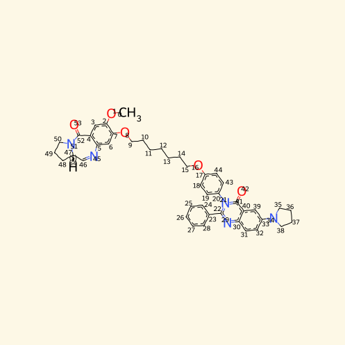 COc1cc2c(cc1OCCCCCCCOc1ccc(-n3c(-c4ccccc4)nc4ccc(N5CCCC5)cc4c3=O)cc1)N=C[C@@H]1CCCN1C2=O